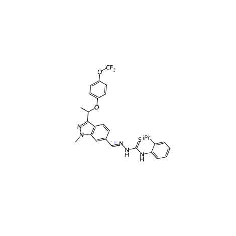 CC(C)c1ccccc1NC(=S)N/N=C/c1ccc2c(C(C)Oc3ccc(OC(F)(F)F)cc3)nn(C)c2c1